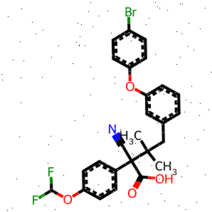 CC(C)(Cc1cccc(Oc2ccc(Br)cc2)c1)C(C#N)(C(=O)O)c1ccc(OC(F)F)cc1